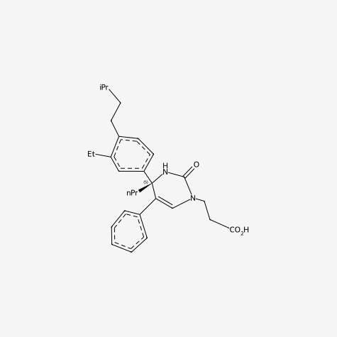 CCC[C@@]1(c2ccc(CCC(C)C)c(CC)c2)NC(=O)N(CCC(=O)O)C=C1c1ccccc1